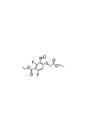 CCOC(=O)CSc1cc(F)c(C(=O)OCC)c(F)c1N=O